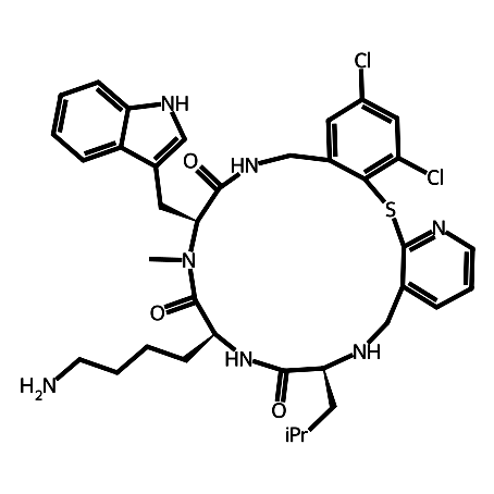 CC(C)C[C@@H]1NCc2cccnc2Sc2c(Cl)cc(Cl)cc2CNC(=O)[C@H](Cc2c[nH]c3ccccc23)N(C)C(=O)[C@H](CCCCN)NC1=O